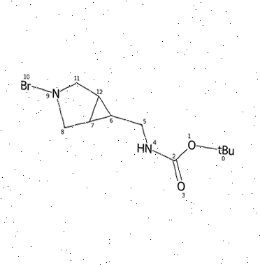 CC(C)(C)OC(=O)NCC1C2CN(Br)CC12